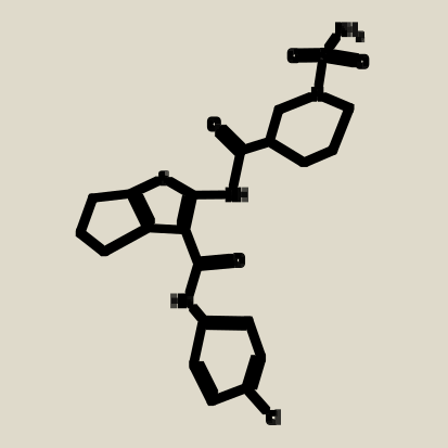 NS(=O)(=O)N1CCCC(C(=O)Nc2sc3c(c2C(=O)Nc2ccc(Cl)cc2)CCC3)C1